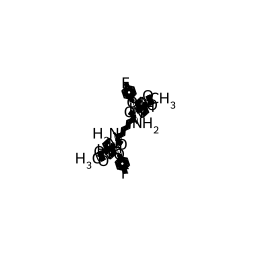 CS(=O)(=O)N1C[C@H](Oc2ccc(F)cc2)[C@@H]2[C@H]1CCN2C(=O)[C@@H](N)CCCC[C@H](N)C(=O)N1CC[C@@H]2[C@H]1[C@@H](Oc1ccc(F)cc1)CN2S(C)(=O)=O